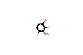 O=[N+]([O-])c1c(F)ccc(Br)c1F